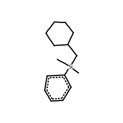 C[Si](C)(C[C]1CCCCC1)c1ccccc1